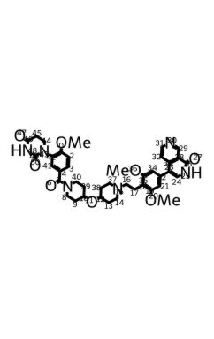 COc1ccc(C(=O)N2CCC(OC3CCN(CCc4c(OC)cc(-c5c[nH]c(=O)c6cnccc56)cc4OC)CC3)CC2)cc1N1CCC(=O)NC1=O